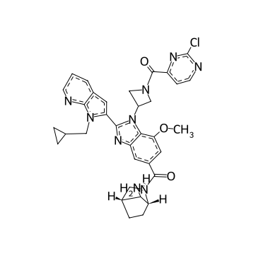 COc1cc(C(=O)N2C[C@H]3CC[C@@H]2[C@@H]3N)cc2nc(-c3cc4cccnc4n3CC3CC3)n(C3CN(C(=O)c4ccnc(Cl)n4)C3)c12